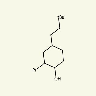 CC(C)C1CC(CCC(C)(C)C)CCC1O